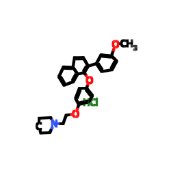 COc1cccc(-c2ccc3ccccc3c2Oc2ccc(OCCN3CCCCC3)cc2)c1.Cl